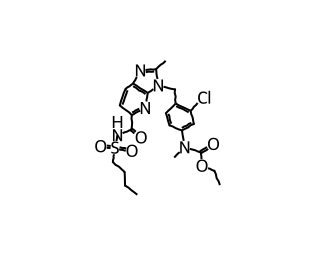 CCCCS(=O)(=O)NC(=O)c1ccc2nc(C)n(Cc3ccc(N(C)C(=O)OCC)cc3Cl)c2n1